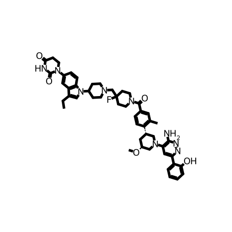 CCc1cn(C2CCN(CC3(F)CCN(C(=O)c4ccc([C@H]5C[C@@H](OC)CN(c6cc(-c7ccccc7O)nnc6N)C5)c(C)c4)CC3)CC2)c2ccc(N3CCC(=O)NC3=O)cc12